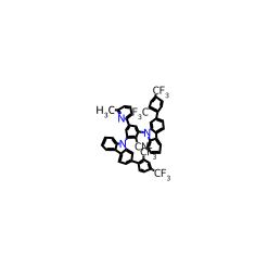 Cc1cccc(-c2cc(-n3c4ccccc4c4ccc(-c5ccc(C(F)(F)F)cc5C(F)(F)F)cc43)c(C#N)c(-n3c4ccccc4c4ccc(-c5ccc(C(F)(F)F)cc5C(F)(F)F)cc43)c2)n1